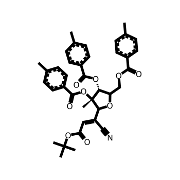 Cc1ccc(C(=O)OCC2OC(/C(C#N)=C/C(=O)OC(C)(C)C)[C@](C)(OC(=O)c3ccc(C)cc3)[C@@H]2OC(=O)c2ccc(C)cc2)cc1